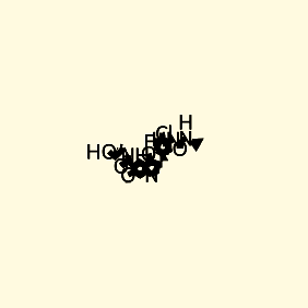 COc1cc2nccc(Oc3c(F)cc(NC(=O)NC4CC4)c(Cl)c3F)c2cc1C(=O)N[C@H](C)CO